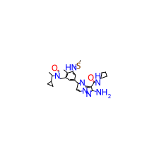 CSNc1cc(-c2ccn3nc(N)c(C(=O)NC4CCC4)c3n2)cc(CN(C=O)C(C)C2CC2)c1C